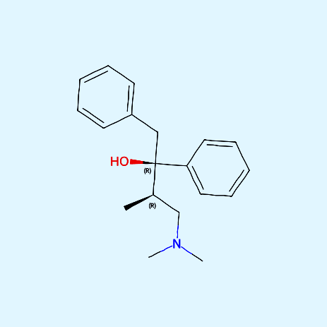 C[C@H](CN(C)C)[C@](O)(Cc1ccccc1)c1ccccc1